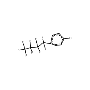 [O]c1ccc(C(F)(F)C(F)(F)C(F)(F)C(F)(F)F)cc1